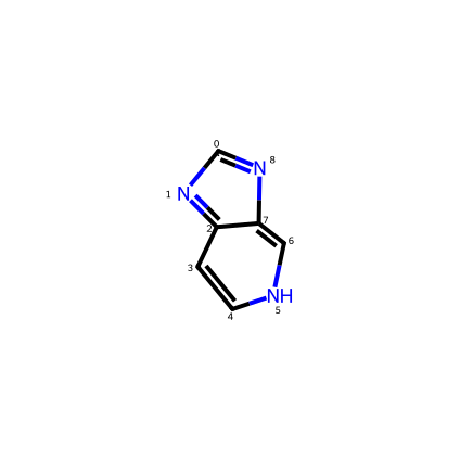 [c]1nc2cc[nH]cc-2n1